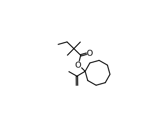 C=C(C)C1(OC(=O)C(C)(C)CC)CCCCCCC1